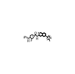 Cc1nnc(-c2ccc3cnc(NC(=O)N4CC[C@H](NC(C)C)[C@H](F)C4)cc3c2)s1